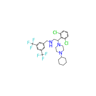 FC(F)(F)c1cc(CNCC(c2c(Cl)cccc2Cl)N2CCN(C3CCCCC3)CC2)cc(C(F)(F)F)c1